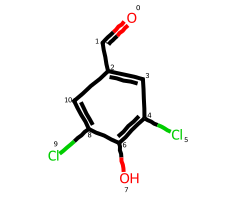 O=[C]c1cc(Cl)c(O)c(Cl)c1